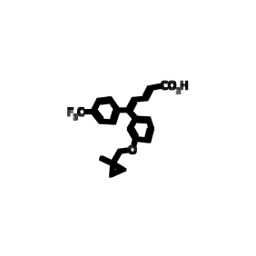 CC1(COc2cccc(/C(=C\C=C\C(=O)O)c3ccc(C(F)(F)F)cc3)c2)CC1